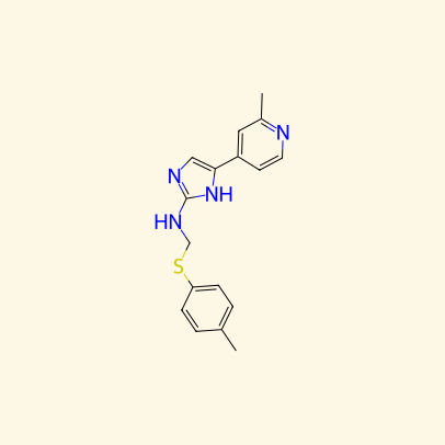 Cc1ccc(SCNc2ncc(-c3ccnc(C)c3)[nH]2)cc1